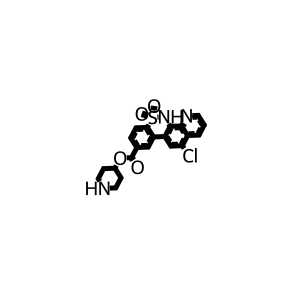 O=C(OC1CCNCC1)c1ccc2c(c1)-c1cc(Cl)c3cccnc3c1NS2(=O)=O